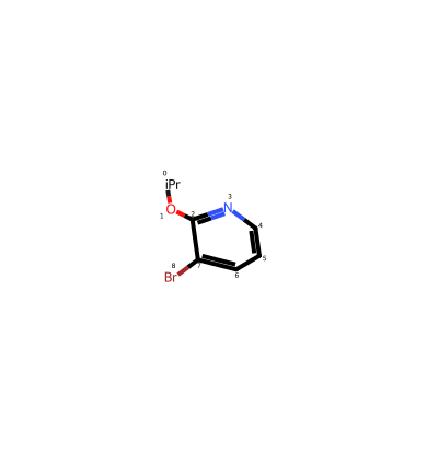 CC(C)Oc1ncccc1Br